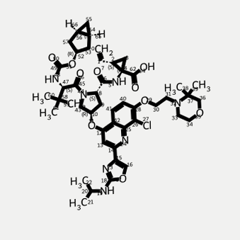 C=C[C@@H]1C[C@]1(NC(=O)[C@@H]1C[C@@H](Oc2cc(-c3coc(NC(C)C)n3)nc3c(Cl)c(OCCN4CCOCC4(C)C)ccc23)CN1C(=O)[C@@H](NC(=O)O[C@@H]1C[C@@H]2C[C@@H]2C1)C(C)(C)C)C(=O)O